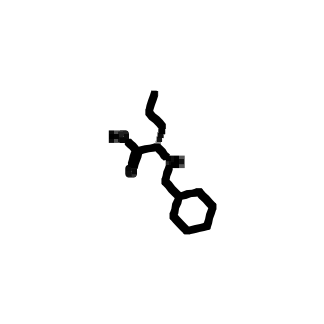 CCC[C@H](NCC1CCCCC1)C(=O)O